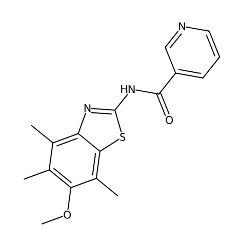 COc1c(C)c(C)c2nc(NC(=O)c3cccnc3)sc2c1C